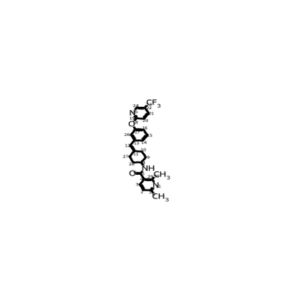 Cc1ccc(C(=O)NC2CCC(=Cc3cccc(Oc4ccc(C(F)(F)F)cn4)c3)CC2)c(C)n1